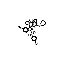 COc1ccc(S(=O)(=O)N2C(=O)C(c3cc(CN4CCCCC4)ccc3OC)(N3CCC[C@H]3c3ncco3)c3cc(C#N)ccc32)cc1